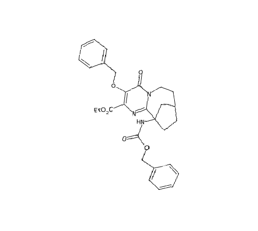 CCOC(=O)c1nc2n(c(=O)c1OCc1ccccc1)CCC1CCC2(NC(=O)OCc2ccccc2)C1